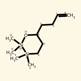 C=CCCC1CC[Si](C)(C)[Si](C)(C)O1